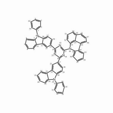 c1ccc(-n2c3ccccc3c3cc(-c4nc(-c5ccc6c(c5)c5ccccc5n6-c5ccccc5)nc(N5c6ccccc6-c6cccc7cccc5c67)n4)ccc32)cc1